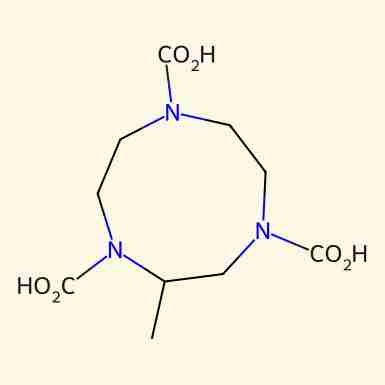 CC1CN(C(=O)O)CCN(C(=O)O)CCN1C(=O)O